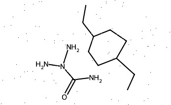 CCC1CCC(CC)CC1.NC(=O)N(N)N